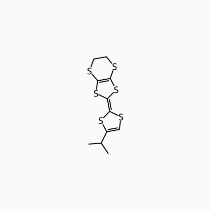 CC(C)C1=CSC(=C2SC3=C(SCCS3)S2)S1